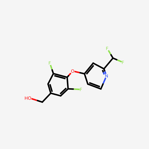 OCc1cc(F)c(Oc2ccnc(C(F)F)c2)c(F)c1